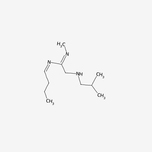 CCC/C=N\C(CNCC(C)C)=N/C